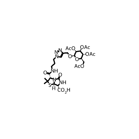 CC(=O)OC[C@H]1O[C@@H](OCc2cn(CCCNC(=O)[C@@H]3N4C(=O)N[C@H](C(=O)O)[C@H]4SC3(C)C)nn2)[C@H](OC(C)=O)[C@@H](OC(C)=O)[C@@H]1OC(C)=O